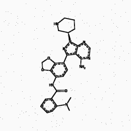 CN(C)c1ccccc1C(=O)Nc1ccc(-c2nn([C@@H]3CCCNC3)c3ncnc(N)c23)c2c1OCO2